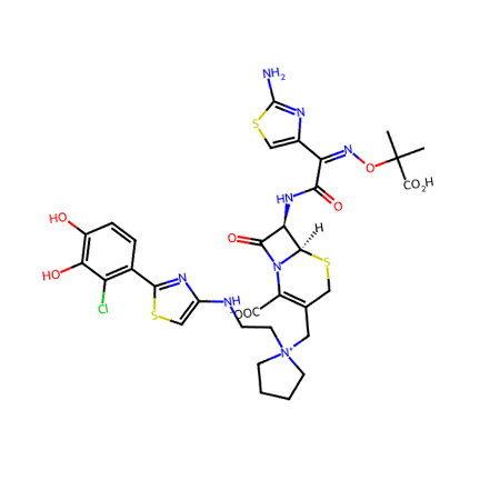 CC(C)(O/N=C(\C(=O)N[C@@H]1C(=O)N2C(C(=O)[O-])=C(C[N+]3(CCNc4csc(-c5ccc(O)c(O)c5Cl)n4)CCCC3)CS[C@H]12)c1csc(N)n1)C(=O)O